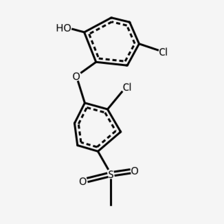 CS(=O)(=O)c1ccc(Oc2cc(Cl)ccc2O)c(Cl)c1